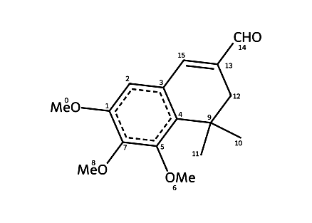 COc1cc2c(c(OC)c1OC)C(C)(C)CC(C=O)=C2